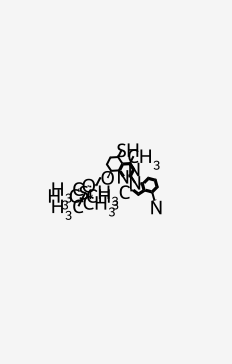 Cc1nc(-n2c(C)cc3c(C#N)cccc32)nc2c1C(S)CC[C@@H]2OCCO[Si](C)(C)C(C)(C)C